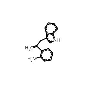 C=C(Cc1c[nH]c2ccccc12)c1ccccc1N